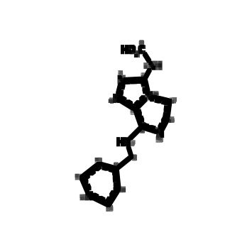 O=C(O)Nc1nnc2c(NCc3ccncc3)nccn12